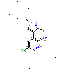 Cc1nn(C)cc1-c1cc(Br)cnc1N